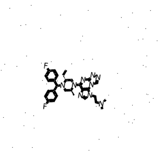 CC[C@@H]1CN(c2nc3nncn3c3c2ncn3CCN(C)C)[C@@H](C)CN1C(c1ccc(F)cc1)c1ccc(F)cc1